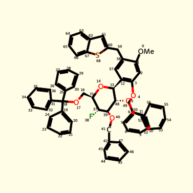 COc1cc(OCc2ccccc2)c([C@@H]2O[C@H](COC(c3ccccc3)(c3ccccc3)c3ccccc3)[C@@H](F)[C@H](OCc3ccccc3)[C@H]2OCc2ccccc2)cc1Cc1cc2ccccc2s1